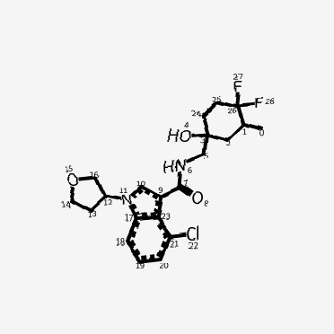 CC1CC(O)(CNC(=O)c2cn(C3CCOC3)c3cccc(Cl)c23)CCC1(F)F